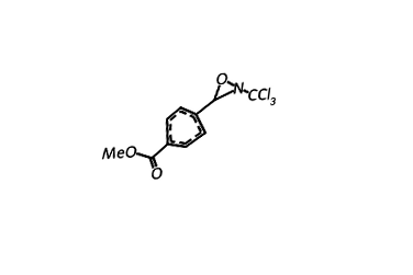 COC(=O)c1ccc(C2ON2C(Cl)(Cl)Cl)cc1